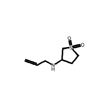 C=CCNC1CCS(=O)(=O)C1